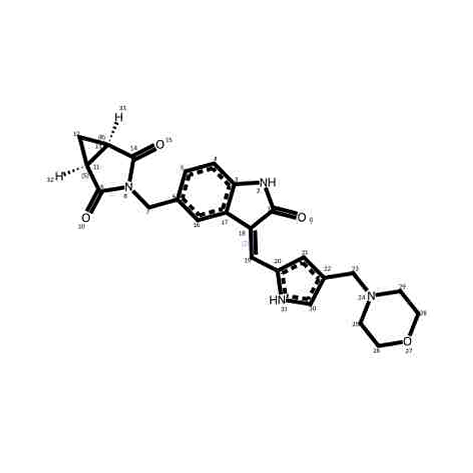 O=C1Nc2ccc(CN3C(=O)[C@H]4C[C@H]4C3=O)cc2/C1=C/c1cc(CN2CCOCC2)c[nH]1